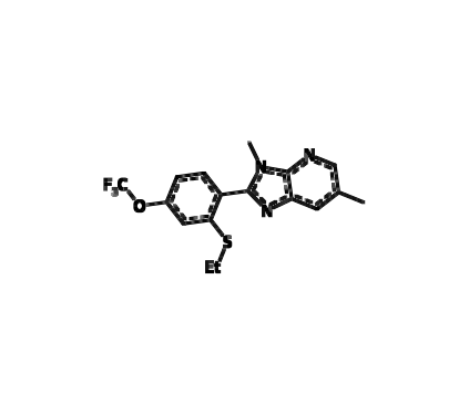 CCSc1cc(OC(F)(F)F)ccc1-c1nc2cc(C)cnc2n1C